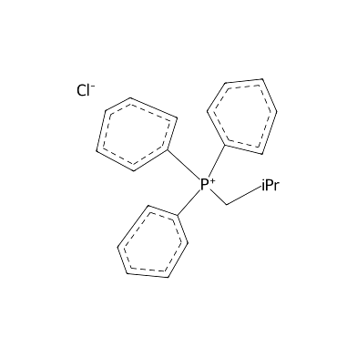 CC(C)C[P+](c1ccccc1)(c1ccccc1)c1ccccc1.[Cl-]